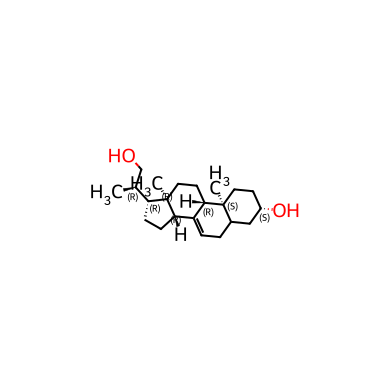 C[C@@H](CO)[C@H]1CC[C@H]2C3=CCC4C[C@@H](O)CC[C@]4(C)[C@H]3CC[C@]12C